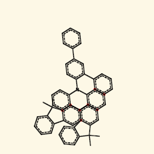 CC1(C)c2ccccc2-c2ccc(-c3ccccc3N(c3ccc(-c4ccccc4)cc3-c3ccccc3)c3ccccc3-c3cccc4c3-c3ccccc3C4(C)C)cc21